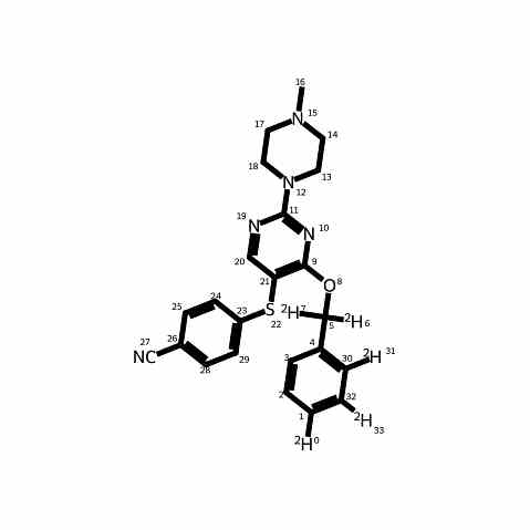 [2H]c1ccc(C([2H])([2H])Oc2nc(N3CCN(C)CC3)ncc2Sc2ccc(C#N)cc2)c([2H])c1[2H]